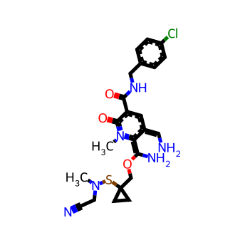 CN(CC#N)SC1(CO/C(N)=c2/c(=C\N)cc(C(=O)NCc3ccc(Cl)cc3)c(=O)n2C)CC1